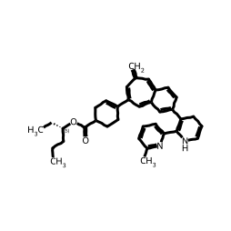 C=C1C=C(C2=CCC(C(=O)O[C@@H](CC)CCC)CC2)C=c2cc(C3=C(c4cccc(C)n4)NC=CC3)ccc2=C1